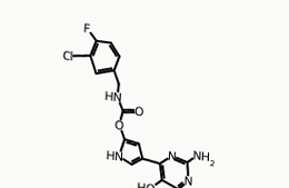 Nc1ncc(O)c(-c2c[nH]c(OC(=O)NCc3ccc(F)c(Cl)c3)c2)n1